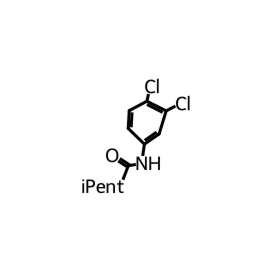 CCCC(C)C(=O)Nc1ccc(Cl)c(Cl)c1